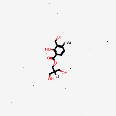 CCCCc1ccc(C(=O)OCC(CC)(CO)CO)c(O)c1CO